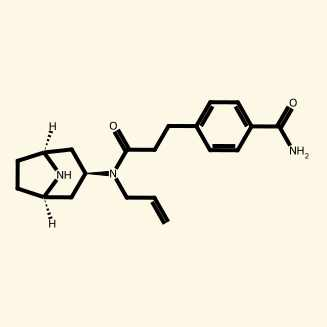 C=CCN(C(=O)CCc1ccc(C(N)=O)cc1)[C@H]1C[C@H]2CC[C@@H](C1)N2